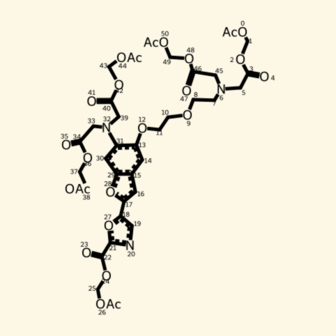 CC(=O)OCOC(=O)CN(CCOCCOc1cc2cc(-c3cnc(C(=O)OCOC(C)=O)o3)oc2cc1N(CC(=O)OCOC(C)=O)CC(=O)OCOC(C)=O)CC(=O)OCOC(C)=O